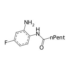 CCCCCC(=O)Nc1ccc(F)cc1N